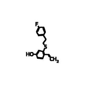 C=Cc1ccc(O)cc1SCCc1ccc(F)cc1